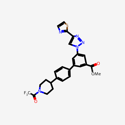 COC(=O)c1cc(-c2ccc(C3CCN(C(=O)C(F)(F)F)CC3)cc2)cc(-n2cc(-c3nccs3)nn2)c1